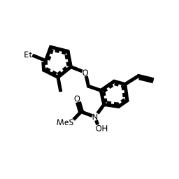 C=Cc1ccc(N(O)C(=O)SC)c(COc2ccc(CC)cc2C)c1